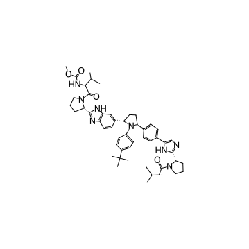 COC(=O)N[C@H](C(=O)N1CCC[C@H]1c1nc2ccc([C@@H]3CC[C@@H](c4ccc(-c5cnc([C@@H]6CCCN6C(=O)[CH]C(C)C)[nH]5)cc4)N3c3ccc(C(C)(C)C)cc3)cc2[nH]1)C(C)C